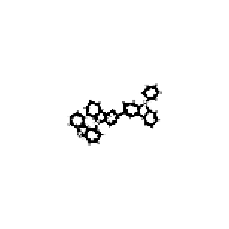 C1=CC2c3cc(-c4ccc5c(c4)c4ccccc4n5-c4cccc5oc6ccccc6c45)ccc3N(c3ccccc3)C2C=C1